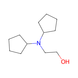 OCCN(C1CCCC1)C1CCCC1